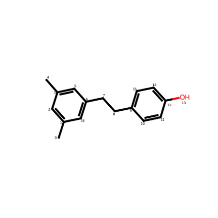 Cc1cc(C)cc(CCc2ccc(O)cc2)c1